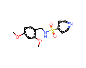 COc1ccc(CNS(=O)(=O)c2ccncc2)c(OC)c1